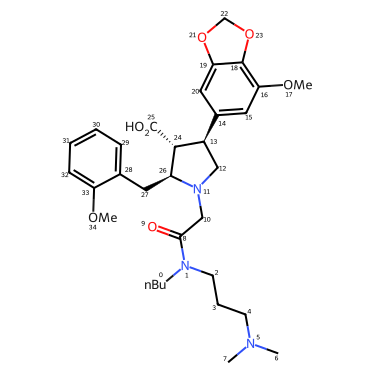 CCCCN(CCCN(C)C)C(=O)CN1C[C@H](c2cc(OC)c3c(c2)OCO3)[C@@H](C(=O)O)[C@@H]1Cc1ccccc1OC